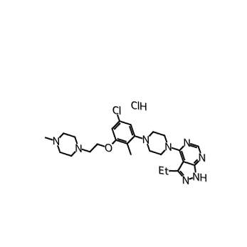 CCc1n[nH]c2ncnc(N3CCN(c4cc(Cl)cc(OCCN5CCN(C)CC5)c4C)CC3)c12.Cl